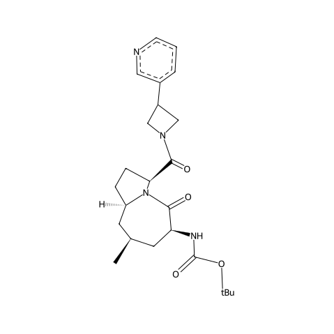 C[C@H]1C[C@H]2CC[C@@H](C(=O)N3CC(c4cccnc4)C3)N2C(=O)[C@@H](NC(=O)OC(C)(C)C)C1